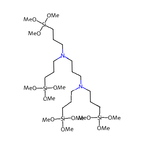 CO[Si](CCCN(CCCN(CCC[Si](OC)(OC)OC)CCC[Si](OC)(OC)OC)CCC[Si](OC)(OC)OC)(OC)OC